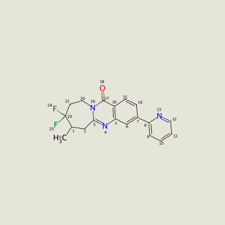 CC1Cc2nc3cc(-c4ccccn4)ccc3c(=O)n2CCC1(F)F